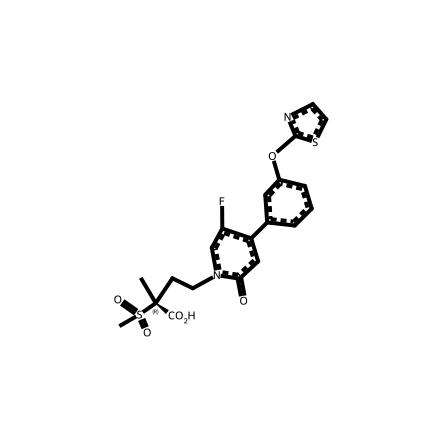 C[C@@](CCn1cc(F)c(-c2cccc(Oc3nccs3)c2)cc1=O)(C(=O)O)S(C)(=O)=O